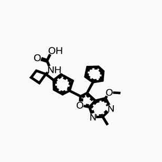 COc1nc(C)nc2oc(-c3ccc(C4(NC(=O)O)CCC4)cc3)c(-c3ccccc3)c12